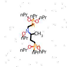 CCCON(CC[PH](CCC)(OCCC)OCCC)C(C)CC[PH](CCC)(OCCC)OCCC